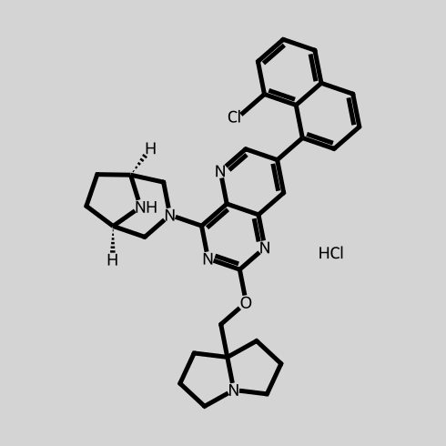 Cl.Clc1cccc2cccc(-c3cnc4c(N5C[C@H]6CC[C@@H](C5)N6)nc(OCC56CCCN5CCC6)nc4c3)c12